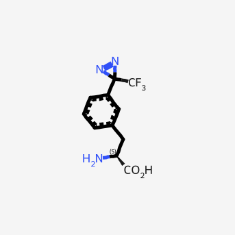 N[C@@H](Cc1cccc(C2(C(F)(F)F)N=N2)c1)C(=O)O